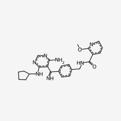 COc1ncccc1C(=O)NCc1ccc(C(=N)c2c(N)ncnc2NC2CCCC2)cc1